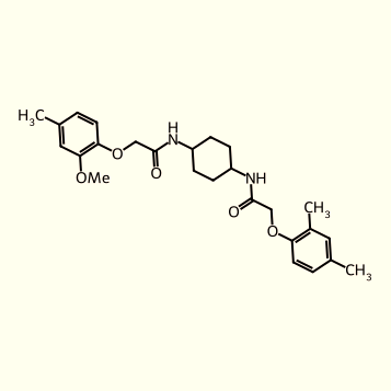 COc1cc(C)ccc1OCC(=O)NC1CCC(NC(=O)COc2ccc(C)cc2C)CC1